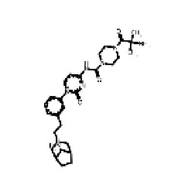 CC(C)(N)C(=O)N1CCN(C(=O)Nc2ccn(-c3cccc(CCN4CC5CCC(C4)C5N)c3)c(=O)n2)CC1